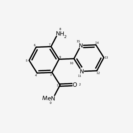 CNC(=O)c1cccc(N)c1-c1ncccn1